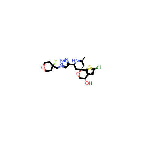 C[C@H]1C[C@@]2(C[C@@H](c3cn(CC4(F)CCOCC4)nn3)N1)OC[C@@H](O)c1cc(Cl)sc12